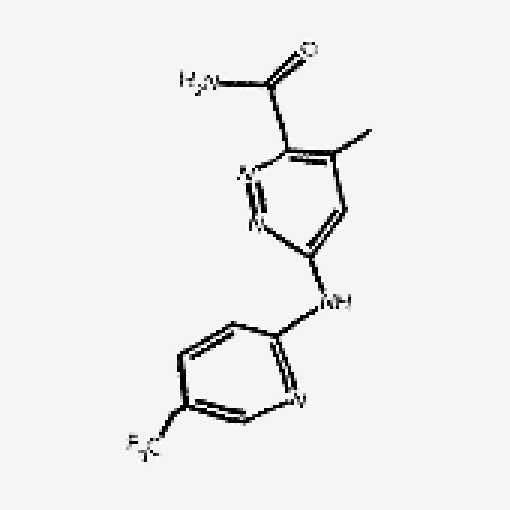 Cc1cc(Nc2ccc(C(F)(F)F)cn2)nnc1C(N)=O